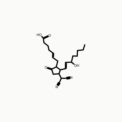 CCCCCC(O)C=CC1C(CC=CCCCC(=O)O)C(=O)CC1C(C#N)C#N